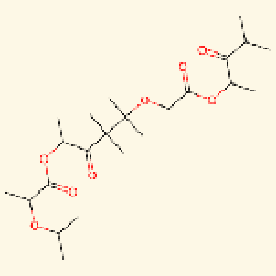 CC(C)OC(C)C(=O)OC(C)C(=O)C(C)(C)C(C)(C)OCC(=O)OC(C)C(=O)C(C)C